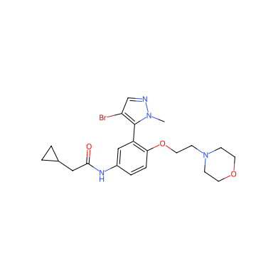 Cn1ncc(Br)c1-c1cc(NC(=O)CC2CC2)ccc1OCCN1CCOCC1